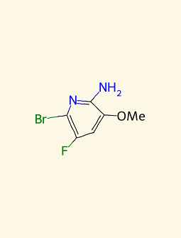 COc1cc(F)c(Br)nc1N